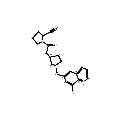 N#CC1CCCN1C(=O)CN1CC[C@@H](Nc2cc(Cl)c3ncccc3c2)C1